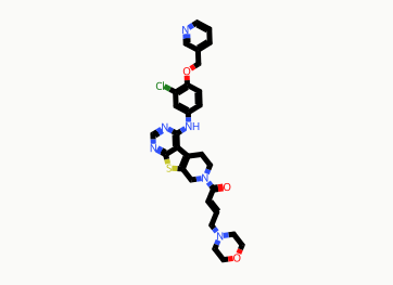 O=C(/C=C/CN1CCOCC1)N1CCc2c(sc3ncnc(Nc4ccc(OCc5cccnc5)c(Cl)c4)c23)C1